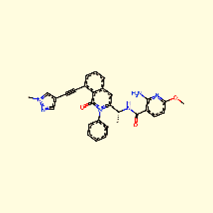 COc1ccc(C(=O)N[C@H](C)c2cc3cccc(C#Cc4cnn(C)c4)c3c(=O)n2-c2ccccc2)c(N)n1